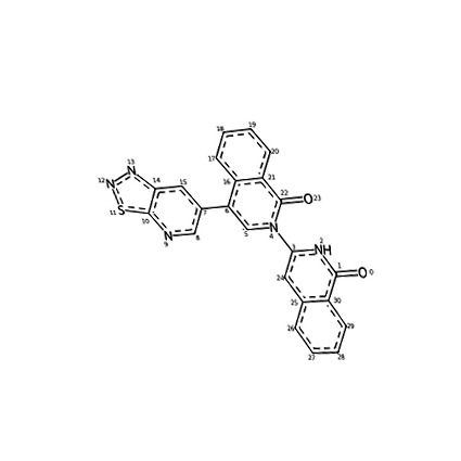 O=c1[nH]c(-n2[c]c(-c3cnc4snnc4c3)c3ccccc3c2=O)cc2ccccc12